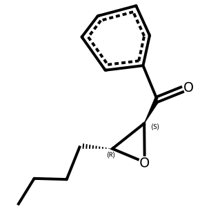 CCCC[C@H]1O[C@@H]1C(=O)c1ccccc1